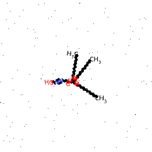 CCCCCCCCCCCCCOCC(COCCCCCCCCCCCCC)(COCCCCCCCCCCCCC)COC(=O)CCCN1CCN(CCO)CC1